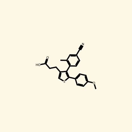 COc1ccc(-c2scc(CCC(=O)O)c2-c2ccc(C#N)cc2C)cc1